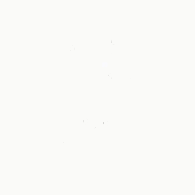 C=C/C=C(/C(=O)c1c(C)cccc1Sc1ccc(OC(=O)CC(C)CC(C)(C)C)cc1)C(C)C=O